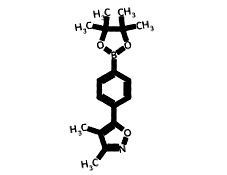 Cc1noc(-c2ccc(B3OC(C)(C)C(C)(C)O3)cc2)c1C